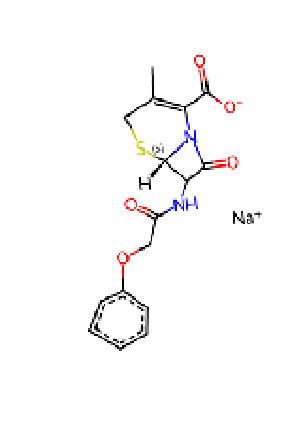 CC1=C(C(=O)[O-])N2C(=O)C(NC(=O)COc3ccccc3)[C@@H]2SC1.[Na+]